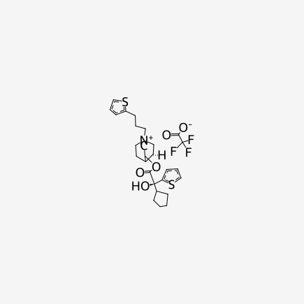 O=C(O[C@@H]1C[N+]2(CCCc3cccs3)CCC1CC2)[C@](O)(c1cccs1)C1CCCC1.O=C([O-])C(F)(F)F